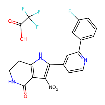 O=C(O)C(F)(F)F.O=C1NCCc2[nH]c(-c3ccnc(-c4cccc(F)c4)c3)c([N+](=O)[O-])c21